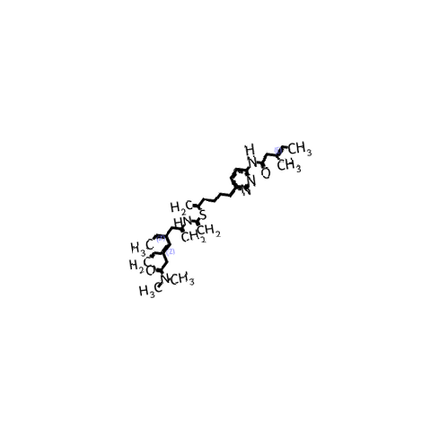 C=C/C(=C\C(=C/C)CC(=C)NC(=C)SC(=C)CCCCc1ccc(NC(=O)C/C(C)=C/C)nn1)CC(=O)N(C)C